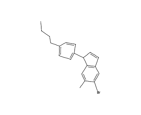 CCCCc1ccc(C2C=Cc3cc(Br)c(C)cc32)cc1